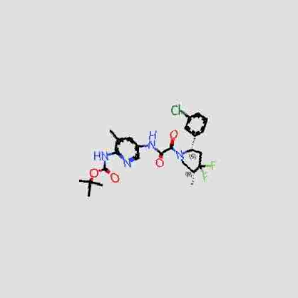 Cc1cc(NC(=O)C(=O)N2C[C@@H](C)C(F)(F)C[C@H]2c2cccc(Cl)c2)cnc1NC(=O)OC(C)(C)C